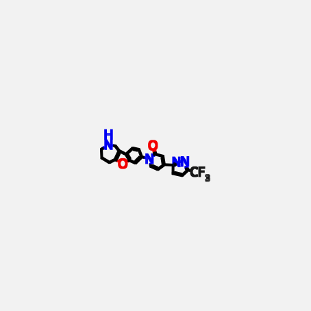 O=c1cc(-c2ccc(C(F)(F)F)nn2)ccn1-c1ccc2c3c(oc2c1)CCCNC3